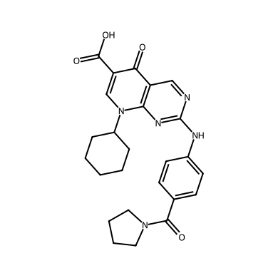 O=C(O)c1cn(C2CCCCC2)c2nc(Nc3ccc(C(=O)N4CCCC4)cc3)ncc2c1=O